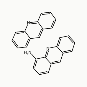 Nc1cccc2cc3ccccc3nc12.c1ccc2nc3ccccc3cc2c1